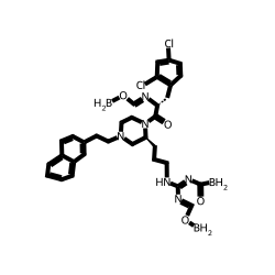 BOC=NC(=NC(B)=O)NCCC[C@H]1CN(CCc2ccc3ccccc3c2)CCN1C(=O)[C@@H](Cc1ccc(Cl)cc1Cl)N=COB